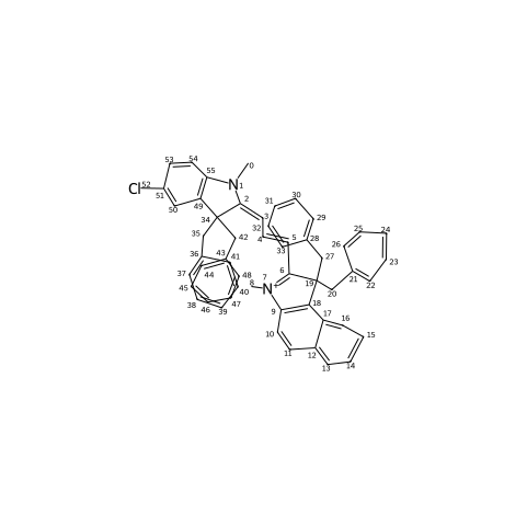 CN1/C(=C/C=C/C2=[N+](C)c3ccc4ccccc4c3C2(Cc2ccccc2)Cc2ccccc2)C(Cc2ccccc2)(Cc2ccccc2)c2cc(Cl)ccc21